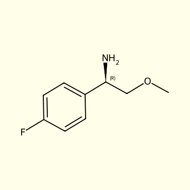 COC[C@H](N)c1ccc(F)cc1